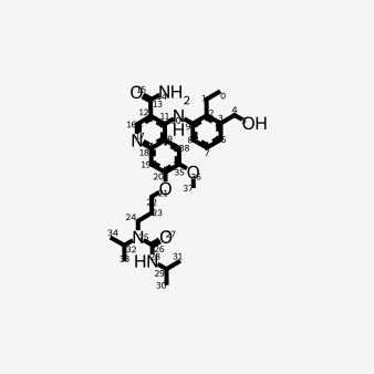 CCc1c(CO)cccc1Nc1c(C(N)=O)cnc2cc(OCCCN(C(=O)NC(C)C)C(C)C)c(OC)cc12